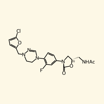 CC(=O)NC[C@H]1CN(c2ccc(N3C=NN(Cc4ccc(Cl)o4)CC3)c(F)c2)C(=O)O1